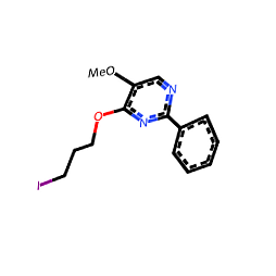 COc1cnc(-c2ccccc2)nc1OCCCI